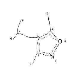 Cc1noc(I)c1C(C)C